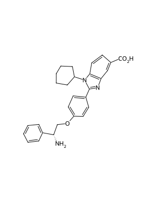 N[C@@H](COc1ccc(-c2nc3cc(C(=O)O)ccc3n2C2CCCCC2)cc1)c1ccccc1